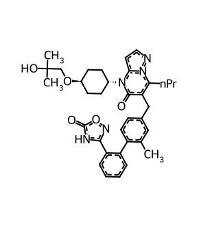 CCCc1c(Cc2ccc(-c3ccccc3-c3noc(=O)[nH]3)c(C)c2)c(=O)n([C@H]2CC[C@H](OCC(C)(C)O)CC2)c2ccnn12